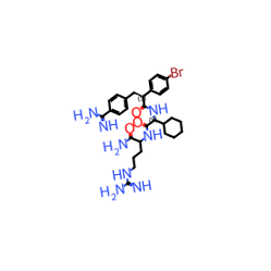 N=C(N)NCCCC(NC(=O)[C@@H](NC(=O)[C@@H](Cc1ccc(C(=N)N)cc1)c1ccc(Br)cc1)C1CCCCC1)C(N)=O